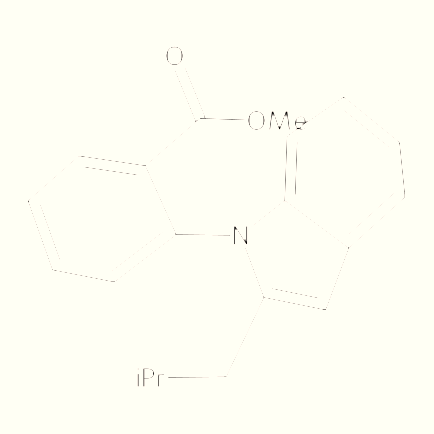 COC(=O)c1ccccc1-n1c(CC(C)C)cc2ccccc21